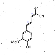 COc1cc(/C=C/C=C(\C#N)C(C)=O)ccc1O